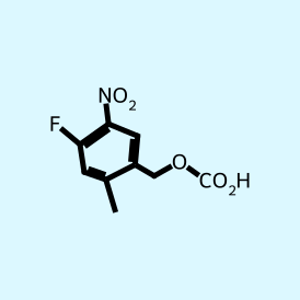 Cc1cc(F)c([N+](=O)[O-])cc1COC(=O)O